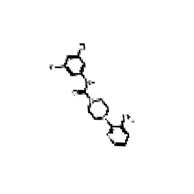 O=C(Nc1cc(Cl)cc(Cl)c1)N1CCN(c2ncccc2C(F)(F)F)CC1